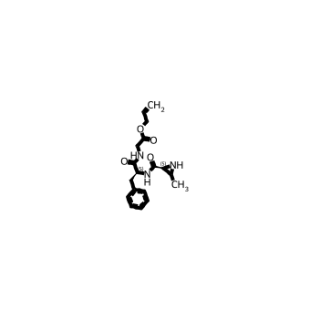 C=CCOC(=O)CNC(=O)[C@H](Cc1ccccc1)NC(=O)[C@H]1NC1C